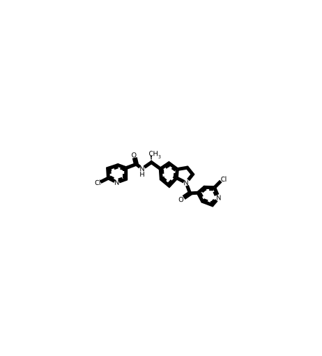 C[C@@H](NC(=O)c1ccc(Cl)nc1)c1ccc2c(c1)CCN2C(=O)c1ccnc(Cl)c1